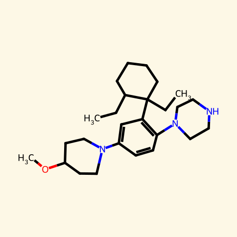 CCC1CCCCC1(CC)c1cc(N2CCC(OC)CC2)ccc1N1CCNCC1